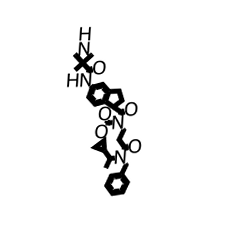 CC(C1CC1)N(Cc1ccccc1)C(=O)CCN1C(=O)OC2(CCc3cc(NC(=O)C4(C)CNC4)ccc32)C1=O